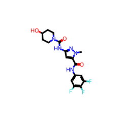 Cn1nc(NC(=O)N2CCC(O)CC2)cc1C(=O)Nc1cc(F)c(F)c(F)c1